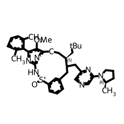 COc1c2nc(nc1-c1c(C)cccc1C)N[S+]([O-])c1cccc(c1)CC(Cc1cncc(N3CCC[C@H]3C)n1)[C@H](CC(C)(C)C)CC2